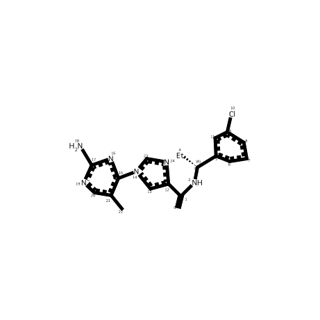 C=C(N[C@H](CC)c1cccc(Cl)c1)c1cn(-c2nc(N)ncc2C)cn1